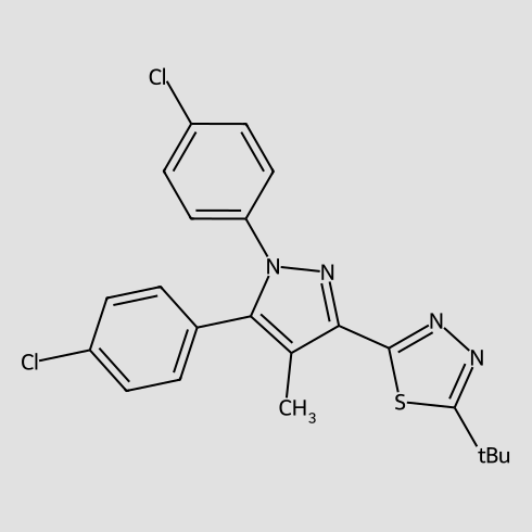 Cc1c(-c2nnc(C(C)(C)C)s2)nn(-c2ccc(Cl)cc2)c1-c1ccc(Cl)cc1